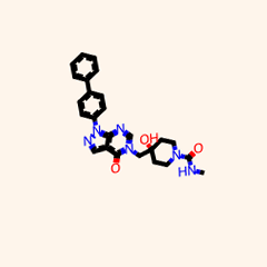 CNC(=O)N1CCC(O)(Cn2cnc3c(cnn3-c3ccc(-c4ccccc4)cc3)c2=O)CC1